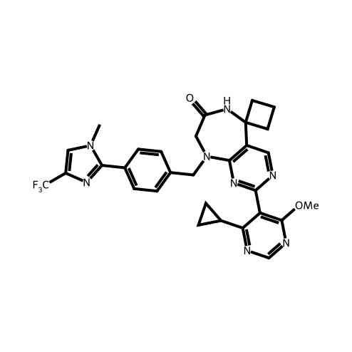 COc1ncnc(C2CC2)c1-c1ncc2c(n1)N(Cc1ccc(-c3nc(C(F)(F)F)cn3C)cc1)CC(=O)NC21CCC1